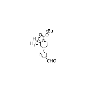 CC(C)(C)OC(=O)N1CC[C@@H](n2cc(C=O)cn2)CC1(C)C